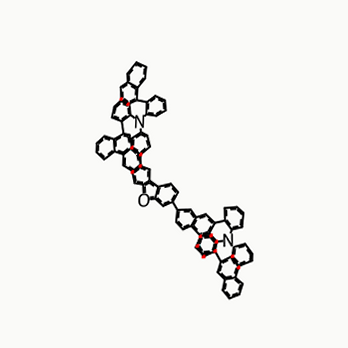 c1ccc(N(c2ccccc2-c2ccc3ccccc3c2)c2ccccc2-c2cc3cc(-c4ccc5c(c4)oc4ccc(-c6ccc(N(c7ccccc7-c7cccc8ccccc78)c7ccccc7-c7cc8ccccc8c8ccccc78)cc6)cc45)ccc3c3ccccc23)cc1